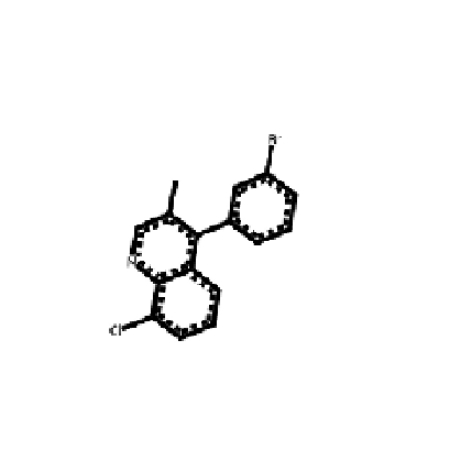 Cc1cnc2c(Cl)cccc2c1-c1cccc(Br)c1